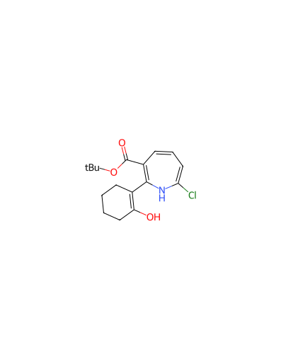 CC(C)(C)OC(=O)C1=C(C2=C(O)CCCC2)NC(Cl)=CC=C1